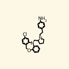 Nc1ccc(CCN2CCCC2CN2c3cc(Cl)ccc3COc3ccccc32)cc1